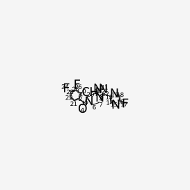 Cc1c(C(=O)N2CCn3c(nnc3-c3cnc(F)cn3)C2)ccc(F)c1F